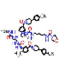 CCCCNC(=O)NCCNC(=O)Nc1cc(C(=O)N2CCC(c3ccc(C#N)cc3)CC2)ccc1C.Cc1ccc(C(=O)N2CCC(c3ccc(C#N)cc3)CC2)cc1NC(=O)NCCCCCNC(=O)N1CCOCC1